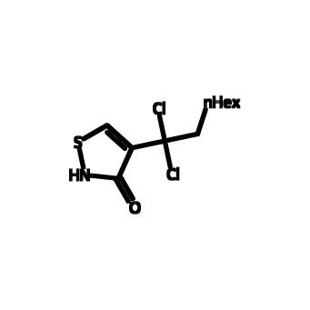 CCCCCCCC(Cl)(Cl)c1cs[nH]c1=O